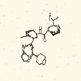 Cc1ccc(NC(=O)c2ccnc(C(F)F)c2)cc1-c1cc(N2CCOCC2)n2nccc2n1